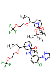 CCC(OCCOC(F)(F)F)C12CC(C)CC(C1)N2C(=O)Nc1ccc(Cl)c(-n2nccn2)c1.CCC(OCCOC(F)(F)F)C12CC(C)CC(C1)N2C(=O)OC(C)(C)C